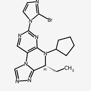 CC[C@@H]1c2nncn2-c2cnc(-n3ccnc3Br)nc2N1C1CCCC1